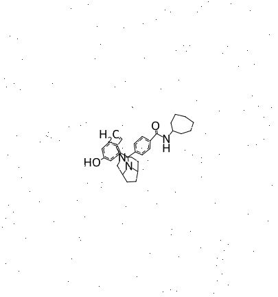 C=CCN1CCC2CCC(C1)N2C(c1ccc(C(=O)NC2CCCCCC2)cc1)c1cccc(O)c1